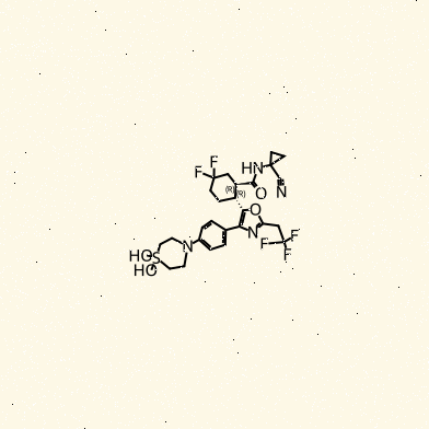 N#CC1(NC(=O)[C@@H]2CC(F)(F)CC[C@H]2c2oc(CC(F)(F)F)nc2-c2ccc(N3CCS(O)(O)CC3)cc2)CC1